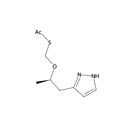 CC(=O)SCO[C@H](C)Cc1cc[nH]n1